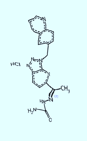 C/C(=N/NC(N)=O)c1ccc2nnn(Cc3ccc4ncccc4c3)c2n1.Cl